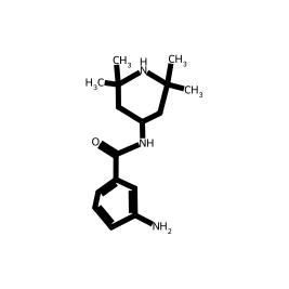 CC1(C)CC(NC(=O)c2cccc(N)c2)CC(C)(C)N1